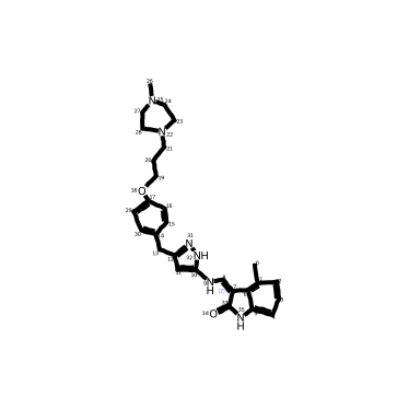 Cc1cccc2c1/C(=C/Nc1cc(Cc3ccc(OCCCN4CCN(C)CC4)cc3)n[nH]1)C(=O)N2